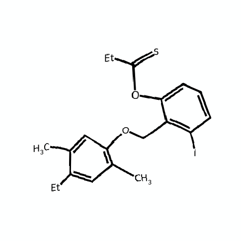 CCC(=S)Oc1cccc(I)c1COc1cc(C)c(CC)cc1C